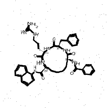 N=C(N)NCCC[C@@H]1NC(=O)[C@@H](Cc2ccccc2)NC(=O)[C@@H](NC(=O)c2ccccc2)CCCC[C@@H](C(=O)Nc2cccc3ccccc23)NC1=O